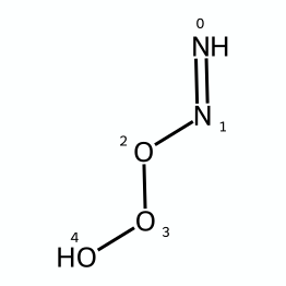 N=NOOO